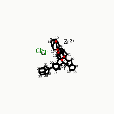 CC(C)[C@]1(C2c3ccc(C45CC6CC(CC(C6)C4)C5)cc3-c3cc(C45CC6CC(CC(C6)C4)C5)ccc32)C2=C(CC=C2)CC1C12CC3CC(CC(C3)C1)C2.[Cl-].[Cl-].[Zr+2]